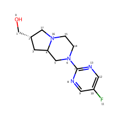 OC[C@H]1CC2CN(c3ncc(F)cn3)CCN2C1